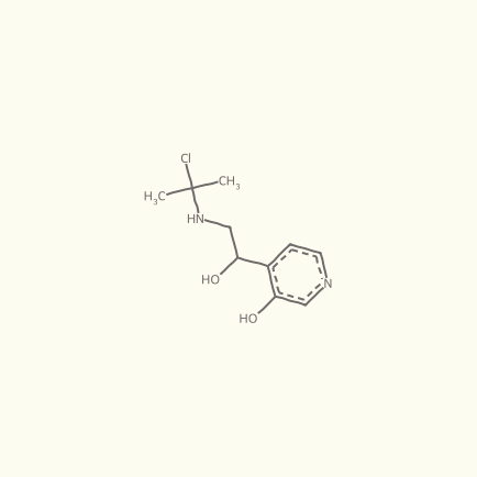 CC(C)(Cl)NCC(O)c1ccncc1O